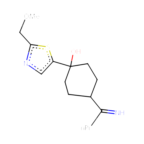 C[CH]CC(=N)C1CCC(O)(c2cnc(COC)s2)CC1